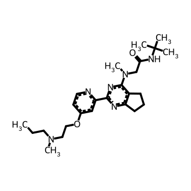 CCCN(C)CCOc1ccnc(-c2nc3c(c(N(C)CC(=O)NC(C)(C)C)n2)CCC3)c1